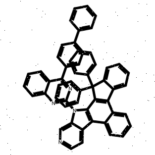 c1ccc(-c2ccc(-c3nc(-n4c5cnccc5c5c6ccccc6c6c(c54)C(c4ccccc4)(c4ccccc4)c4ccccc4-6)nc4ccccc34)cc2)cc1